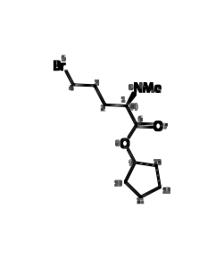 CN[C@H](CCCBr)C(=O)OC1CCCC1